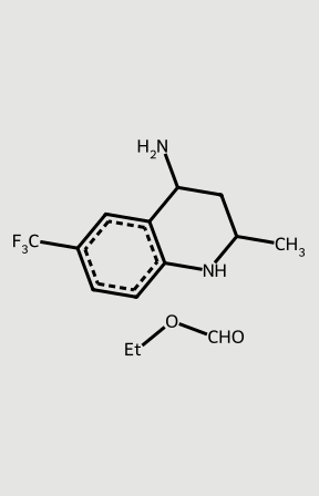 CC1CC(N)c2cc(C(F)(F)F)ccc2N1.CCOC=O